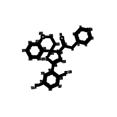 O=C(Cc1ccncc1)N1N=C(c2cc(F)ccc2F)SC12CCOc1ccccc12